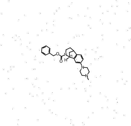 CN1CCN(c2ccc3c(c2)[C@H]2CC3CCN2C(=O)OCc2ccccc2)CC1